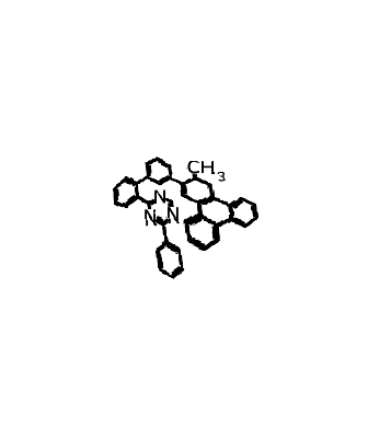 CC1Cc2c(c3ccccc3c3ccccc23)C=C1c1cccc(-c2ccccc2-c2ncnc(-c3ccccc3)n2)c1